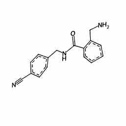 N#Cc1ccc(CNC(=O)c2ccccc2CN)cc1